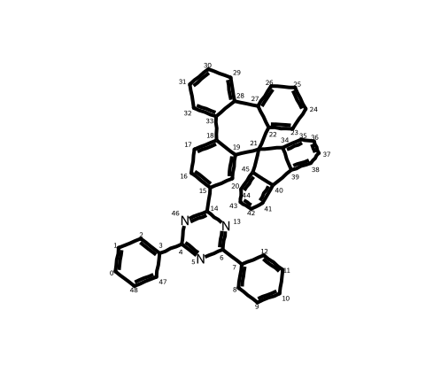 c1ccc(-c2nc(-c3ccccc3)nc(-c3ccc4c(c3)C3(c5ccccc5-c5ccccc5-4)c4ccccc4-c4ccccc43)n2)cc1